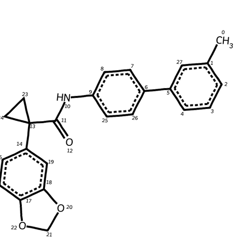 Cc1cccc(-c2ccc(NC(=O)C3(c4ccc5c(c4)OCO5)CC3)cc2)c1